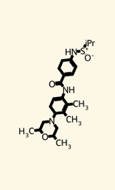 CC1=C(C)C(N2CC(C)OC(C)C2)CC=C1NC(=O)C1=CC=C(N[S+]([O-])C(C)C)CC1